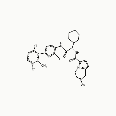 CC(=O)N1CCn2c(ccc2C(=O)N[C@H](C(=O)Nc2ccc(-c3c(Cl)cc[n+]([O-])c3C)cc2F)C2CCCCC2)C1